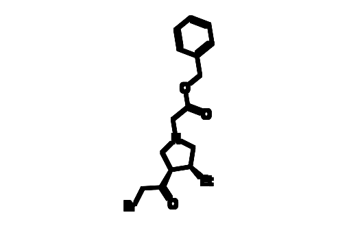 CC[C@@H]1CN(CC(=O)OCc2ccccc2)C[C@@H]1C(=O)CBr